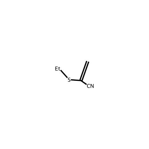 C=C(C#N)SCC